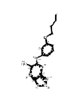 CCCCOc1cccc(Nc2nc3nonc3nc2O)c1